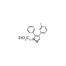 CCOC(=O)Cn1ncc(-c2cccc(C)c2)c1-c1ccccc1